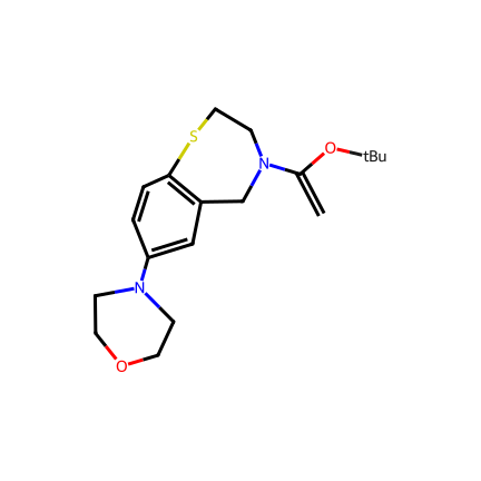 C=C(OC(C)(C)C)N1CCSc2ccc(N3CCOCC3)cc2C1